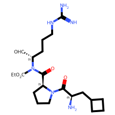 CCOC(=O)N(C(=O)[C@@H]1CCCN1C(=O)[C@H](N)CC1CCC1)[C@H](C=O)CCCNC(=N)N